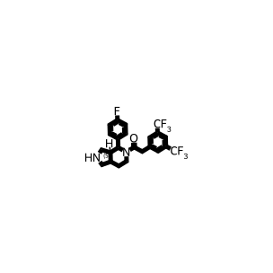 O=C(Cc1cc(C(F)(F)F)cc(C(F)(F)F)c1)N1CCC2CNC[C@H]2C1c1ccc(F)cc1